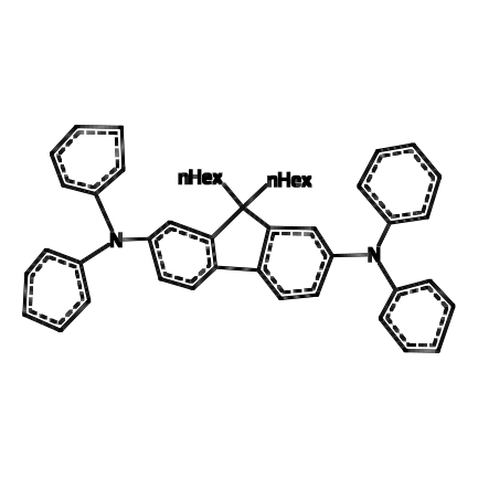 CCCCCCC1(CCCCCC)c2cc(N(c3ccccc3)c3ccccc3)ccc2-c2ccc(N(c3ccccc3)c3ccccc3)cc21